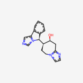 O[C@H]1Cc2nccn2CC[C@H]1[C@@H]1c2ccccc2-c2cncn21